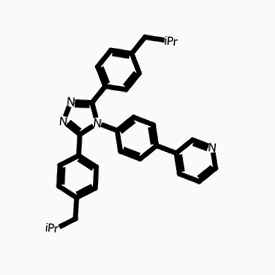 CC(C)Cc1ccc(-c2nnc(-c3ccc(CC(C)C)cc3)n2-c2ccc(-c3cccnc3)cc2)cc1